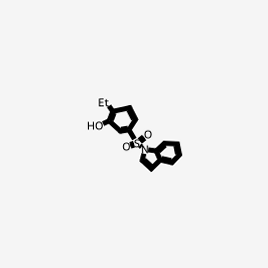 CCc1ccc(S(=O)(=O)n2ccc3ccccc32)cc1O